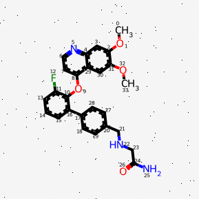 COc1cc2nccc(Oc3c(F)cccc3-c3ccc(CNCC(N)=O)cc3)c2cc1OC